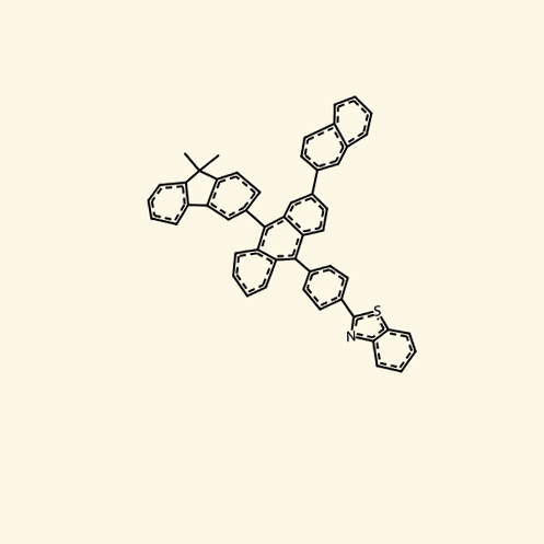 CC1(C)c2ccccc2-c2cc(-c3c4ccccc4c(-c4ccc(-c5nc6ccccc6s5)cc4)c4ccc(-c5ccc6ccccc6c5)cc34)ccc21